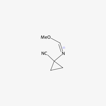 CO/C=N\C1(C#N)CC1